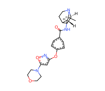 C[C@H]1[C@H](NC(=O)c2ccc(Oc3cc(N4CCOCC4)on3)cc2)C2CCN1CC2